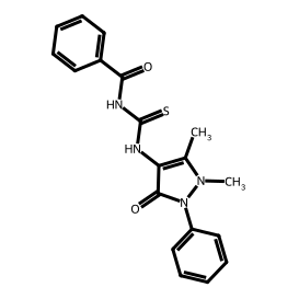 Cc1c(NC(=S)NC(=O)c2ccccc2)c(=O)n(-c2ccccc2)n1C